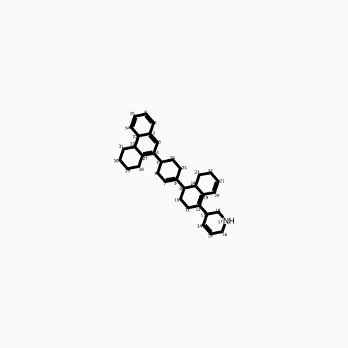 C1=CC2=CC(C3CC=C(C4CCC(C5C=CCNC5)=C5C=CCCC54)CC3)=C3CCCCC3C2C=C1